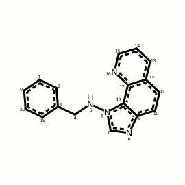 c1ccc(CNn2cnc3ccc4cccnc4c32)cc1